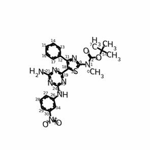 CN(C(=O)OC(C)(C)C)c1nc(-c2ccccc2)c(-c2nc(N)nc(Nc3cccc([N+](=O)[O-])c3)n2)s1